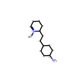 CCC[N+]1=CCCCC1CCC1CCC(N)CC1